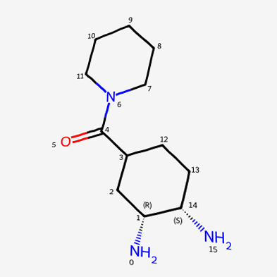 N[C@@H]1CC(C(=O)N2CCCCC2)CC[C@@H]1N